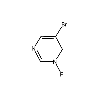 FN1C=NC=C(Br)C1